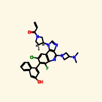 C=CC(=O)N1C[C@@H](C)[C@H](n2cnc3c(N4CC(N(C)C)C4)nc4c(F)c(-c5cc(O)cc6ccccc56)c(Cl)cc4c32)C1